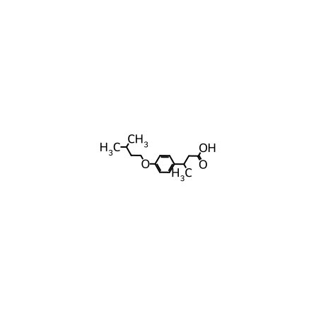 CC(C)CCOc1ccc(C(C)CC(=O)O)cc1